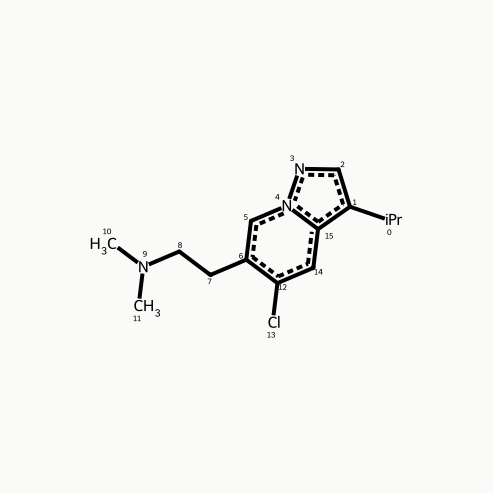 CC(C)c1cnn2cc(CCN(C)C)c(Cl)cc12